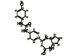 O=C1CC(c2ccc(NC(=O)Nc3ccc(Cl)cc3)cc2)=Nc2cscc2N1